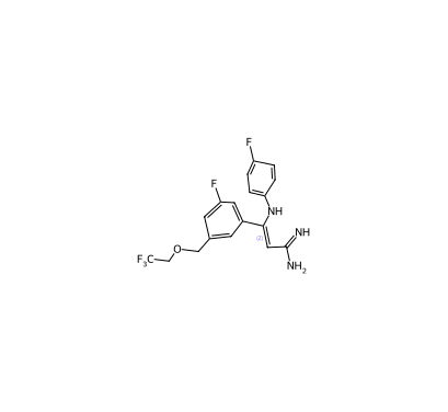 N=C(N)/C=C(\Nc1ccc(F)cc1)c1cc(F)cc(COCC(F)(F)F)c1